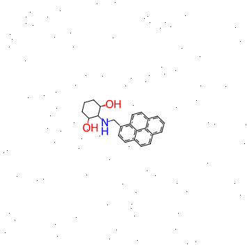 OC1CCC[C@@H](O)C1NCc1ccc2ccc3cccc4ccc1c2c34